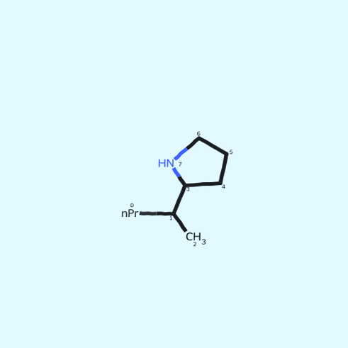 CCCC(C)C1CCCN1